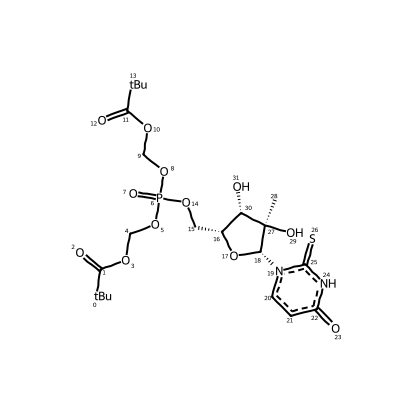 CC(C)(C)C(=O)OCOP(=O)(OCOC(=O)C(C)(C)C)OC[C@H]1O[C@@H](n2ccc(=O)[nH]c2=S)[C@](C)(O)[C@H]1O